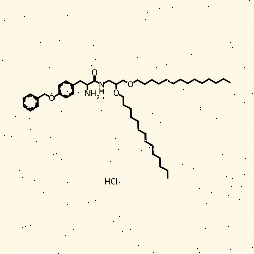 CCCCCCCCCCCCCCOCC(CNC(=O)C(N)Cc1ccc(OCc2ccccc2)cc1)OCCCCCCCCCCCCCC.Cl